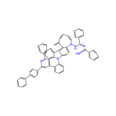 C=C1/C=C\C=C/N(N/C(=N\C(=N)c2ccccc2)c2ccccc2)c2ccc3c(c21)c1ccccc1n3-c1ccccc1-c1cc(-c2ccccc2)nc(-c2ccc(-c3ccccc3)cc2)c1